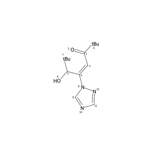 CC(C)(C)C(=O)C=C(C(O)C(C)(C)C)n1cncn1